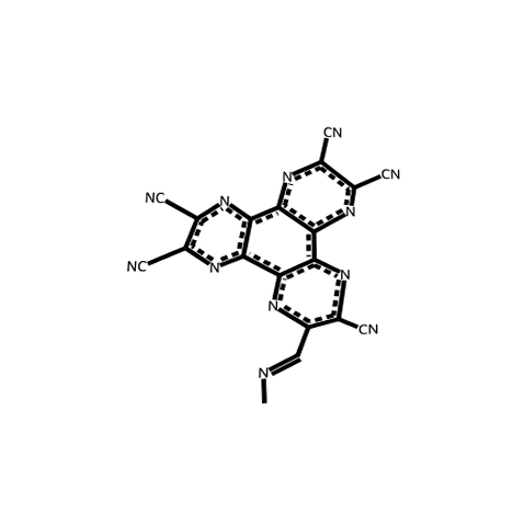 CN=Cc1nc2c3nc(C#N)c(C#N)nc3c3nc(C#N)c(C#N)nc3c2nc1C#N